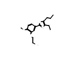 CCCc1sc(-c2ccc(OC)c(OCCF)c2)nc1CC